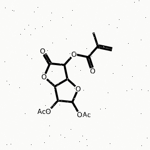 C=C(C)C(=O)OC1C(=O)OC2C(OC(C)=O)C(OC(C)=O)OC12